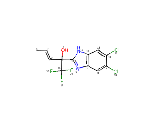 CC=CC(O)(c1nc2cc(Cl)c(Cl)cc2[nH]1)C(F)(F)F